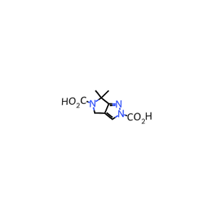 CC1(C)c2nn(C(=O)O)cc2CN1C(=O)O